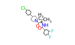 CC(C)[C@@H](NC(=O)c1ccc(F)c(F)c1)C(=O)N1CCC(c2ccc(Cl)cc2)CC1